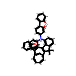 CC1(C)C2=C(c3oc4ccccc4c3C3=CC2C=CC=C3)c2c(N(c3ccccc3)c3ccc4c(c3)oc3ccccc34)cccc21